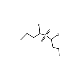 CCCC(Cl)S(=O)(=O)C(Cl)CCC